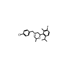 Cc1c(F)ccc(C(C)C)c1C(CNCc1ccc(Cl)cc1)OC(C)C